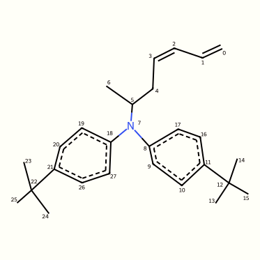 C=C/C=C\CC(C)N(c1ccc(C(C)(C)C)cc1)c1ccc(C(C)(C)C)cc1